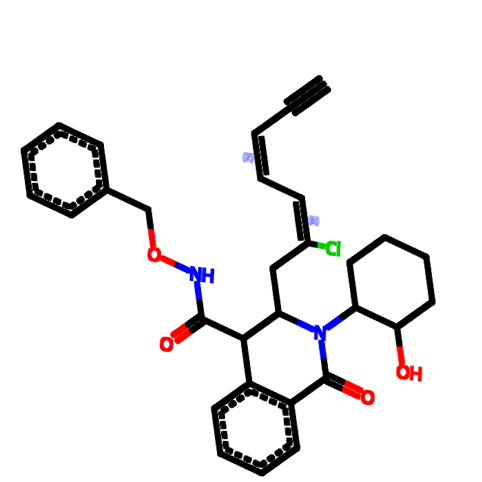 C#C/C=C\C=C(\Cl)CC1C(C(=O)NOCc2ccccc2)c2ccccc2C(=O)N1C1CCCCC1O